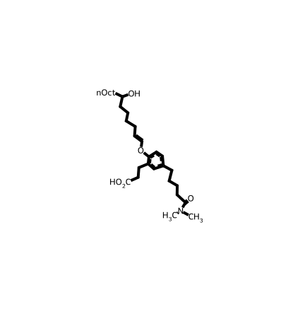 CCCCCCCCC(O)CCCCC=COc1ccc(CCCCC(=O)N(C)C)cc1CCC(=O)O